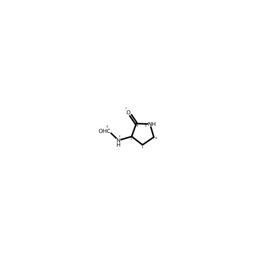 O=CNC1CCNC1=O